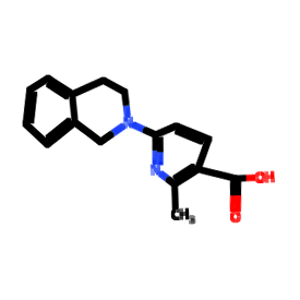 Cc1nc(N2CCc3ccccc3C2)ccc1C(=O)O